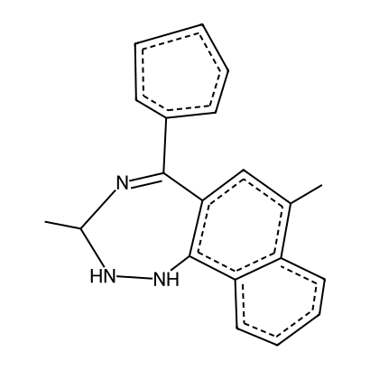 Cc1cc2c(c3ccccc13)NNC(C)N=C2c1ccccc1